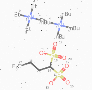 CCCC[N+](CCCC)(CCCC)CCCC.CC[N+](CC)(CC)CC.O=S(=O)([O-])C(CCC(F)(F)F)S(=O)(=O)[O-]